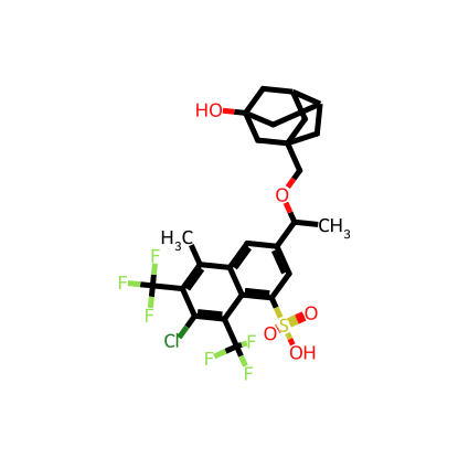 Cc1c(C(F)(F)F)c(Cl)c(C(F)(F)F)c2c(S(=O)(=O)O)cc(C(C)OCC34CC5CC(O)(CC5C3)C4)cc12